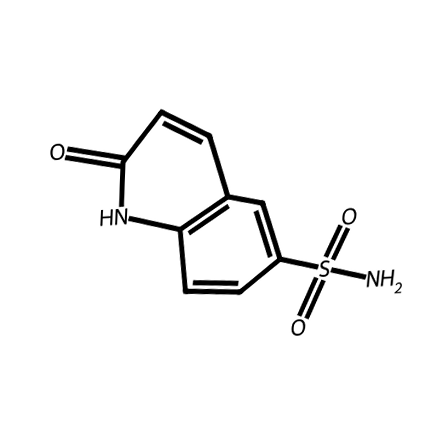 NS(=O)(=O)c1ccc2[nH]c(=O)ccc2c1